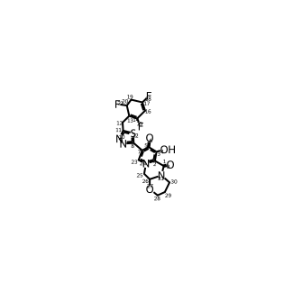 O=C1c2c(O)c(=O)c(-c3nnc(CC4=C(F)C=C(F)CC4F)s3)cn2CC2OCCCN12